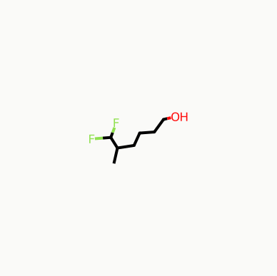 CC(CCCCO)C(F)F